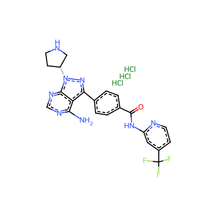 Cl.Cl.Cl.Nc1ncnc2c1c(-c1ccc(C(=O)Nc3cc(C(F)(F)F)ccn3)cc1)nn2[C@@H]1CCNC1